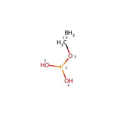 B.COP(O)O